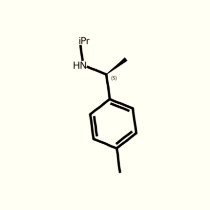 Cc1ccc([C@H](C)NC(C)C)cc1